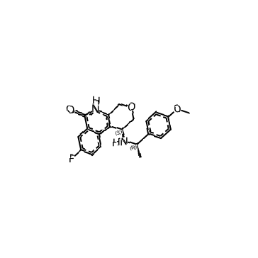 COc1ccc([C@@H](C)N[C@@H]2COCc3[nH]c(=O)c4cc(F)ccc4c32)cc1